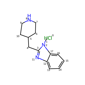 Cl.Cn1c(CC2CCNCC2)nc2ccccc21